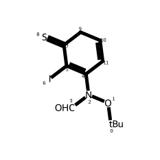 CC(C)(C)ON(C=O)C1=C(I)C(=S)CC=C1